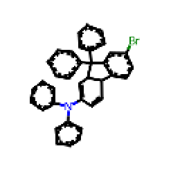 Brc1ccc2c(c1)C(c1ccccc1)(c1ccccc1)C1C=C(N(c3ccccc3)c3ccccc3)C=CC21